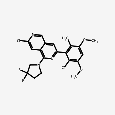 COc1cc(OC)c(Cl)c(-c2cc3cnc(Cl)cc3c(N3CCC(F)(F)C3)n2)c1C